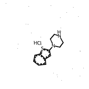 Cl.c1ccc2sc(N3CCNCC3)cc2c1